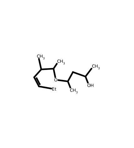 CC/C=C\C(C)C(C)OC(C)CC(C)O